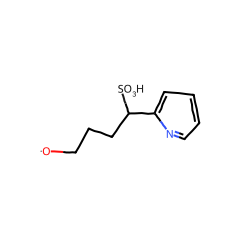 [O]CCCC(c1ccccn1)S(=O)(=O)O